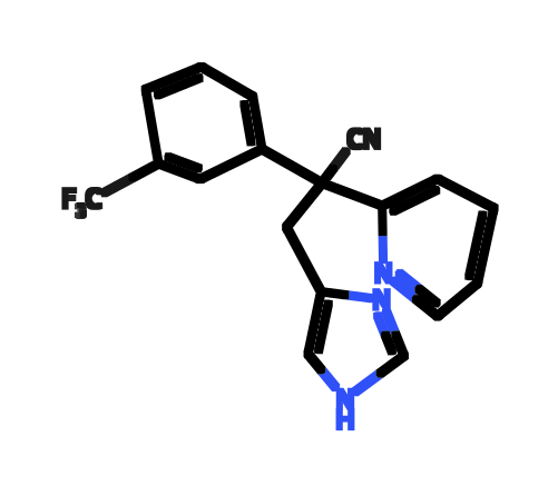 N#CC(Cc1c[nH]cn1)(c1cccc(C(F)(F)F)c1)c1ccccn1